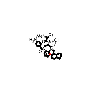 CNC(C)C(=O)N(C)C1CN(C(=O)c2ccc(N)cc2)c2ccccc2N(Cc2c(C)ccc3ccccc23)C1=O.Cl